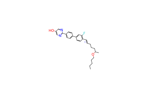 CCCCCOC(C)CCC/C=C/c1ccc(-c2ccc(-c3ncc(O)cn3)cc2)cc1F